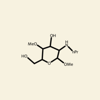 CCCNC1C(OC)OC(CO)C(OC)C1O